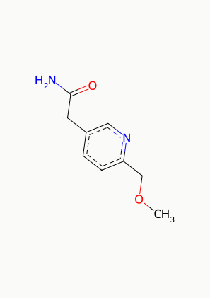 COCc1ccc([CH]C(N)=O)cn1